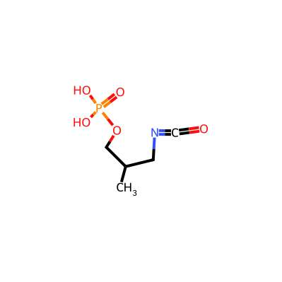 CC(CN=C=O)COP(=O)(O)O